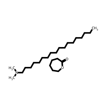 CCCCCCCCCCCCCCCCCCN(C)C.O=C1CCCCCO1